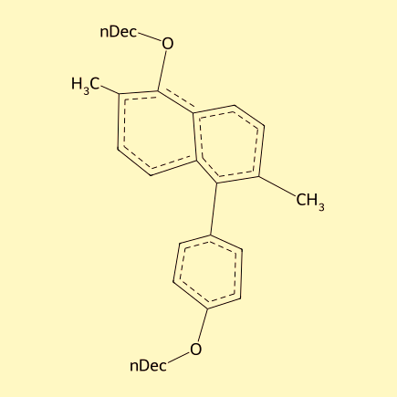 CCCCCCCCCCOc1ccc(-c2c(C)ccc3c(OCCCCCCCCCC)c(C)ccc23)cc1